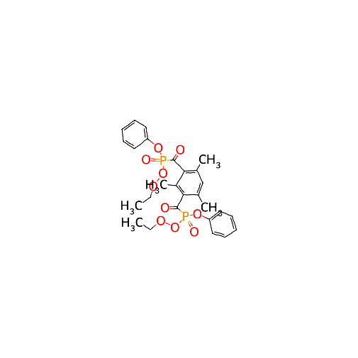 CCOOP(=O)(Oc1ccccc1)C(=O)c1c(C)cc(C)c(C(=O)P(=O)(OOCC)Oc2ccccc2)c1C